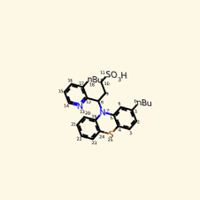 CCCCc1ccc2c(c1)N(C(CCS(=O)(=O)O)c1ncccc1CCCC)c1ccccc1S2